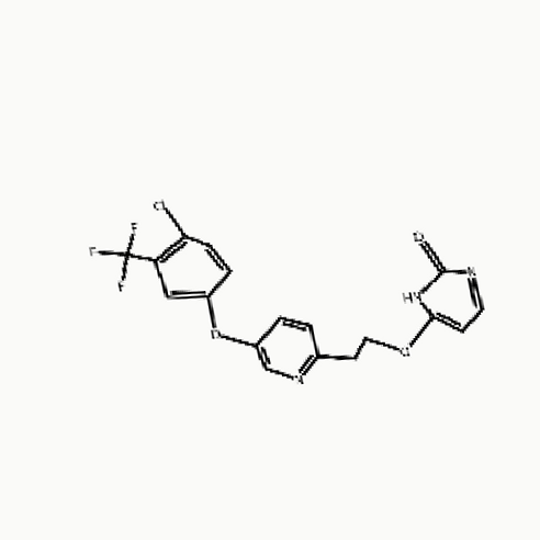 O=c1nccc(OCCc2ccc(Oc3ccc(Cl)c(C(F)(F)F)c3)cn2)[nH]1